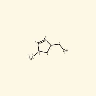 CN1CC(CO)N=N1